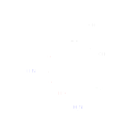 CCC(C)(C)c1cc(CN)c(O)c(S(N)(=O)=O)c1.Cl